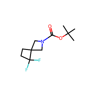 CC(C)(C)OC(=O)N1CC2(CCC2(F)F)C1